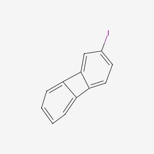 Ic1ccc2c(c1)-c1ccccc1-2